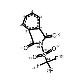 O=C1c2ccccc2C(=O)N1S(=O)(=O)C(F)(F)F